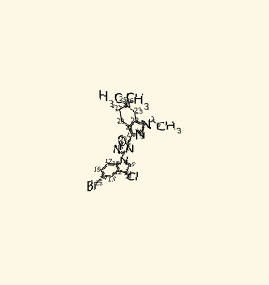 CCn1nc(-c2nc(-n3cc(Cl)c4cc(Br)ccc43)no2)c2c1CC(C)(C)CC2